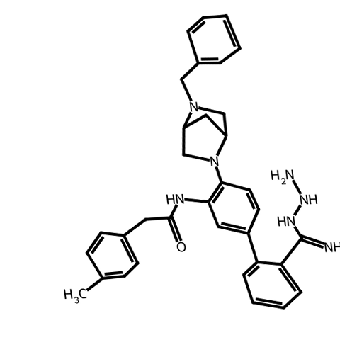 Cc1ccc(CC(=O)Nc2cc(-c3ccccc3C(=N)NNN)ccc2N2CC3CC2CN3Cc2ccccc2)cc1